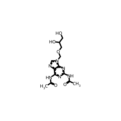 CC(=O)Nc1nc(NC(C)=O)c2ncn(COCC(O)CO)c2n1